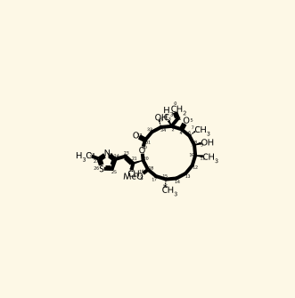 C=C[C@]1(C)C(=O)[C@H](C)[C@@H](O)[C@@H](C)CCC[C@H](C)CC(OC)[C@@H](/C(C)=C/c2csc(C)n2)OC(=O)C[C@@H]1O